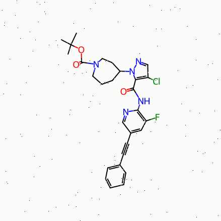 CC(C)(C)OC(=O)N1CCCC(n2ncc(Cl)c2C(=O)Nc2ncc(C#Cc3ccccc3)cc2F)CC1